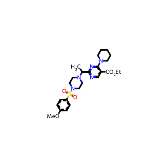 CCOC(=O)c1cnc(C(C)N2CCN(S(=O)(=O)c3ccc(OC)cc3)CC2)nc1N1CCCCC1